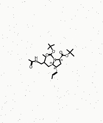 CC=C[C@H]1C[C@H](C(=O)OC(C)(C)C)N(C(=O)OC(C)(C)C)[C@@H]1CC(CC)CNC(C)=O